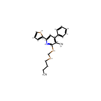 N#CCCCSCSc1nc(-c2cccs2)cc(-c2ccccc2)c1C#N